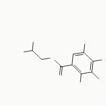 CC(C)COC(=O)c1cc(N)c(Cl)c(N)c1O